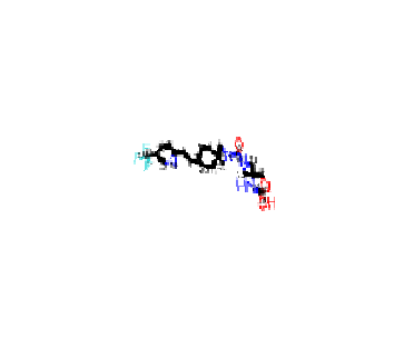 O=C(N1CC2(CCC(CCc3ccc(C(F)(F)F)cn3)CC2)C1)N1CC2(COC(O)N2)C1